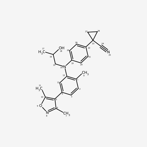 Cc1ccc(-c2c(C)noc2C)cc1N(CC(C)O)c1ccc(C2(C#N)CC2)cc1